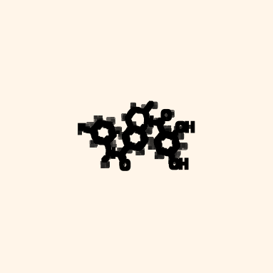 CC1CCc2cc(C(=O)N(C)c3cccc(F)c3)ccc2N1C(=O)c1ccc(O)cc1O